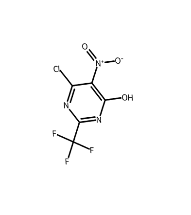 O=[N+]([O-])c1c(O)nc(C(F)(F)F)nc1Cl